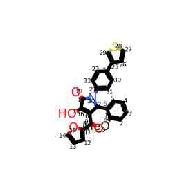 COc1ccccc1C1C(C(=O)c2ccco2)=C(O)C(=O)N1c1ccc(-c2ccsc2)cc1